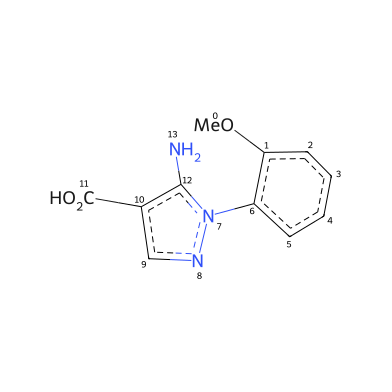 COc1ccccc1-n1ncc(C(=O)O)c1N